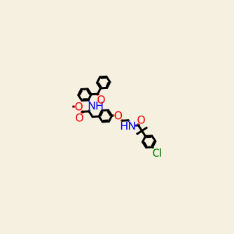 COC(=O)C(Cc1ccc(OCCNC(=O)C(C)(C)c2ccc(Cl)cc2)cc1)Nc1ccccc1C(=O)c1ccccc1